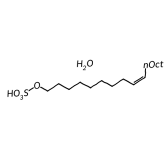 CCCCCCCC/C=C\CCCCCCCCOS(=O)(=O)O.O